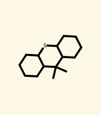 CC1(C)C2CCCCC2SC2CCCCC21